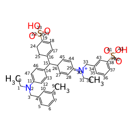 CCN(Cc1cccc(C)c1)c1ccc(C(C2=CC=C(S(=O)(=O)O)CC2)C2C=CC(=[N+](CC)Cc3cccc(S(=O)(=O)O)c3)C=C2)cc1